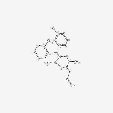 C=CCN1C[C@H](C)N([C@@H](c2cccc(O)c2)c2ccccc2C)C[C@H]1C